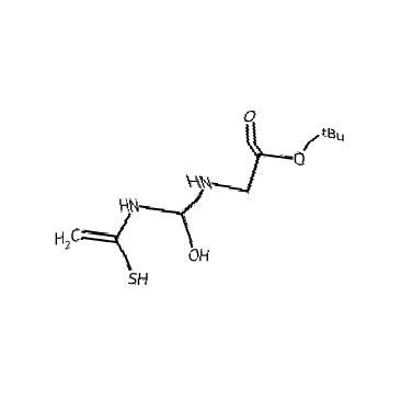 C=C(S)NC(O)NCC(=O)OC(C)(C)C